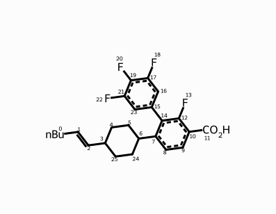 CCCCC=CC1CCC(c2ccc(C(=O)O)c(F)c2-c2cc(F)c(F)c(F)c2)CC1